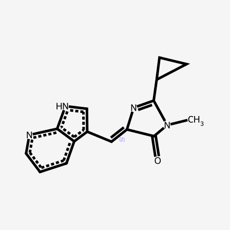 CN1C(=O)/C(=C/c2c[nH]c3ncccc23)N=C1C1CC1